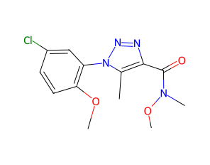 COc1ccc(Cl)cc1-n1nnc(C(=O)N(C)OC)c1C